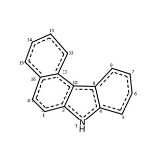 [c]1[c]c2[nH]c3ccccc3c2c2ccccc12